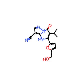 CC(C)c1c(-c2ccc(CO)o2)[nH]c2c(C#N)cnn2c1=O